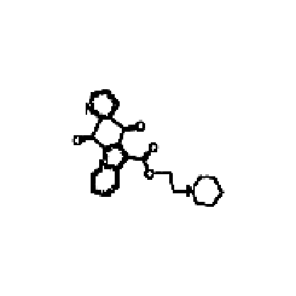 O=C1c2cccnc2C(=O)c2c1c(C(=O)OCCN1CCCCC1)c1ccccn21